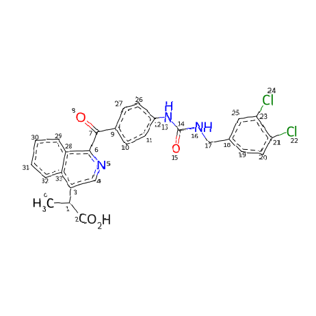 CC(C(=O)O)c1cnc(C(=O)c2ccc(NC(=O)NCc3ccc(Cl)c(Cl)c3)cc2)c2ccccc12